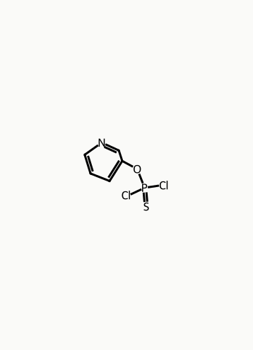 S=P(Cl)(Cl)Oc1cccnc1